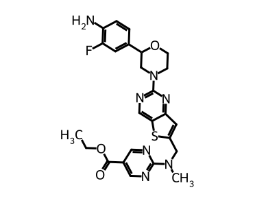 CCOC(=O)c1cnc(N(C)Cc2cc3nc(N4CCOC(c5ccc(N)c(F)c5)C4)ncc3s2)nc1